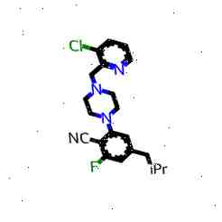 CC(C)Cc1cc(F)c(C#N)c(N2CCN(Cc3ncccc3Cl)CC2)c1